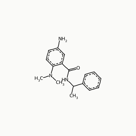 CC(NC(=O)c1cc(N)ccc1N(C)C)c1ccccc1